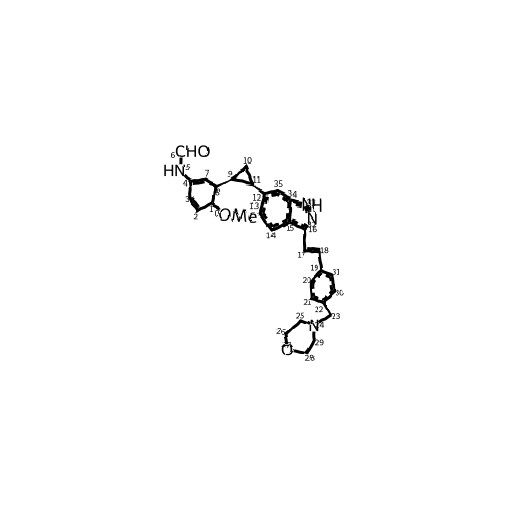 COC1C=CC(NC=O)=CC1[C@H]1C[C@H]1c1ccc2c(/C=C/c3ccc(CN4CCOCC4)cc3)n[nH]c2c1